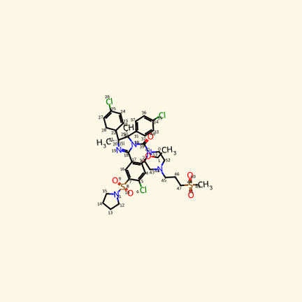 CCOc1cc(Cl)c(S(=O)(=O)N2CCCC2)cc1C1=N[C@@](C)(C2C=CC(Cl)=CC2)[C@@](C)(c2ccc(Cl)cc2)N1C(=O)N1CCN(CCCS(C)(=O)=O)CC1